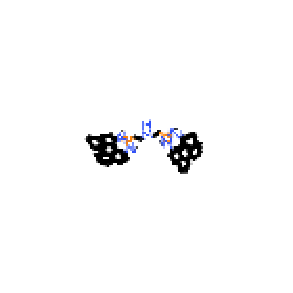 Cn1c2ccc3ccccc3c2c2c3ccccc3ccc2n(C)p1CCNCCp1n(C)c2ccc3ccccc3c2c2c3ccccc3ccc2n1C